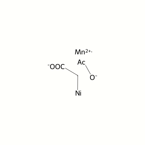 CC(=O)[O-].O=C([O-])[CH2][Ni].[Mn+2]